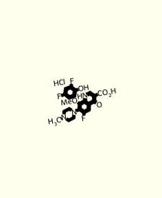 COc1c(N2CCN(C)CC2)c(F)cc2c(=O)c(C(=O)O)c[nH]c12.Cl.Oc1ccc(F)cc1F